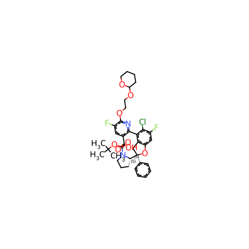 CC(C)(C)OC(=O)N1CCC[C@H]1[C@@]1(c2ccccc2)Cc2c(cc(F)c(Cl)c2-c2nc(OCCOC3CCCCO3)c(F)cc2C(=O)O)O1